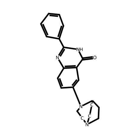 O=c1[nH]c(-c2ccccc2)nc2ccc(N3CCN4CCC3CC4)cc12